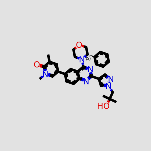 Cc1cc(-c2ccc3nc(-c4cnn(CC(C)(C)O)c4)nc(N4CCOC[C@@H]4c4ccccc4)c3c2)cn(C)c1=O